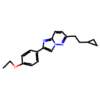 CCOc1ccc(-c2cn3nc(CCC4CC4)ccc3n2)cc1